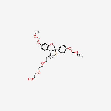 COCOc1ccc(C2(SC)COc3cc(OCOC)ccc3C2CCCOCCOCCO)cc1